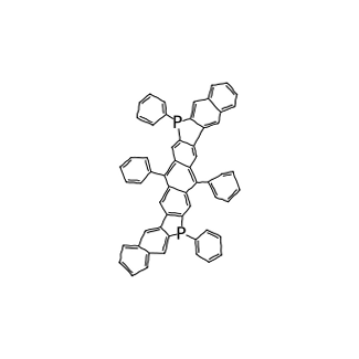 c1ccc(-c2c3cc4c5cc6ccccc6cc5p(-c5ccccc5)c4cc3c(-c3ccccc3)c3cc4c5cc6ccccc6cc5p(-c5ccccc5)c4cc23)cc1